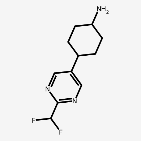 NC1CCC(c2cnc(C(F)F)nc2)CC1